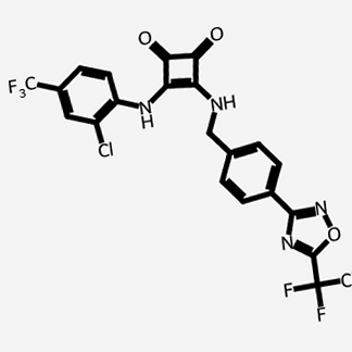 O=c1c(NCc2ccc(-c3noc(C(F)(F)Cl)n3)cc2)c(Nc2ccc(C(F)(F)F)cc2Cl)c1=O